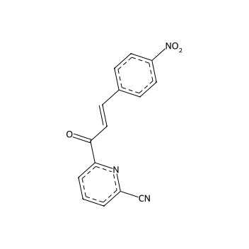 N#Cc1cccc(C(=O)C=Cc2ccc([N+](=O)[O-])cc2)n1